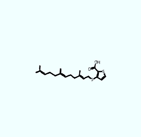 CC(C)=CCC/C(C)=C/CC/C(C)=C/CSc1ccsc1C(=O)O